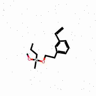 C=Cc1cccc(CCO[Si](C)(CCC)OC)c1